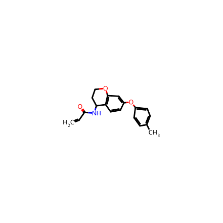 C=CC(=O)NC1CCOc2cc(Oc3ccc(C)cc3)ccc21